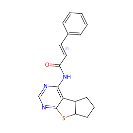 O=C(/C=C/c1ccccc1)Nc1ncnc2c1C1CCCC1S2